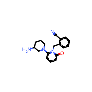 N#Cc1ccccc1Cn1c(N2CCCC(N)C2)cccc1=O